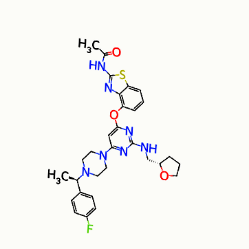 CC(=O)Nc1nc2c(Oc3cc(N4CCN([C@H](C)c5ccc(F)cc5)CC4)nc(NC[C@@H]4CCCO4)n3)cccc2s1